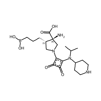 CC(C)N(c1c(N2C[C@H](CCCB(O)O)[C@](N)(C(=O)O)C2)c(=O)c1=O)C1CCNCC1